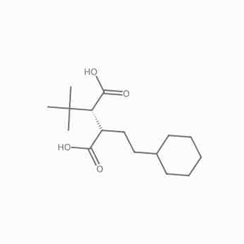 CC(C)(C)[C@H](C(=O)O)C(CCC1CCCCC1)C(=O)O